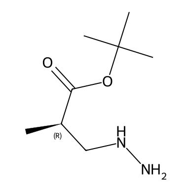 C[C@H](CNN)C(=O)OC(C)(C)C